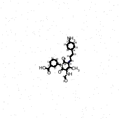 CC1=C(NC=O)C(=O)N(c2cccc(C(=O)O)c2)C(=O)/C1=C\C=Cc1ccc(N)cc1